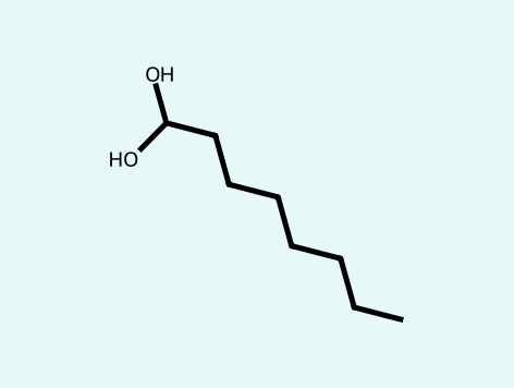 CCCCCCCC(O)O